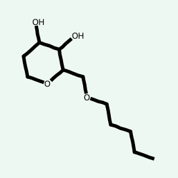 CCCCCOCC1OCCC(O)C1O